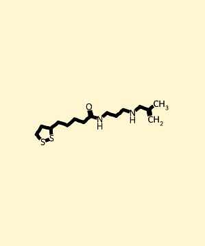 C=C(C)CNCCCNC(=O)CCCCC1CCSS1